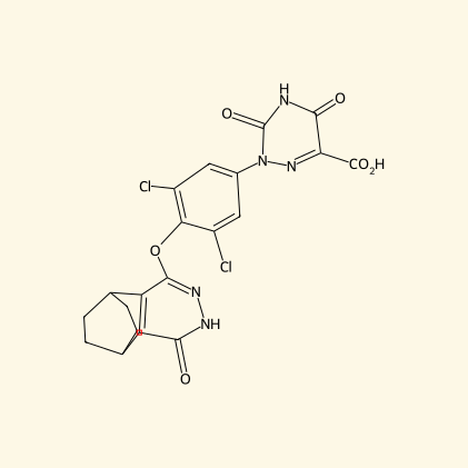 O=C(O)c1nn(-c2cc(Cl)c(Oc3n[nH]c(=O)c4c3C3CCC4CC3)c(Cl)c2)c(=O)[nH]c1=O